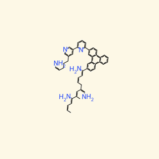 C\C=C/C=C(N)/C(C)=C/C(=C\N)C/C=C\C=C(/N)c1ccc2c3ccccc3c3ccc(-c4cccc(-c5cncc(CCC/C=C\N)c5)n4)cc3c2c1